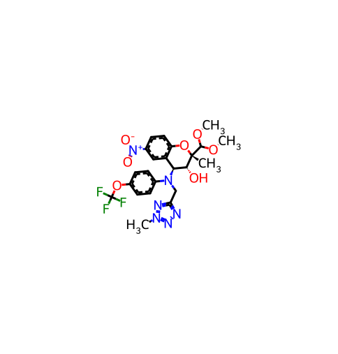 COC(OC)[C@@]1(C)Oc2ccc([N+](=O)[O-])cc2[C@H](N(Cc2nnn(C)n2)c2ccc(OC(F)(F)F)cc2)[C@H]1O